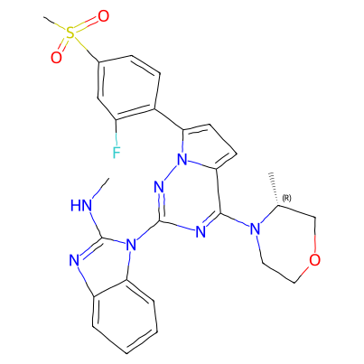 CNc1nc2ccccc2n1-c1nc(N2CCOC[C@H]2C)c2ccc(-c3ccc(S(C)(=O)=O)cc3F)n2n1